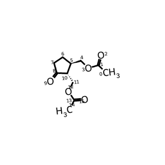 CC(=O)OC[C@@H]1CCC(=O)[C@H]1COC(C)=O